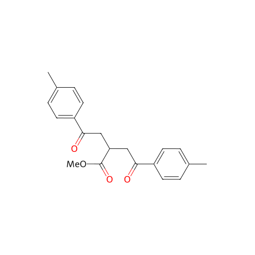 COC(=O)C(CC(=O)c1ccc(C)cc1)CC(=O)c1ccc(C)cc1